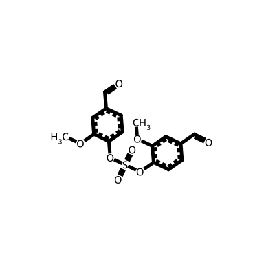 COc1cc(C=O)ccc1OS(=O)(=O)Oc1ccc(C=O)cc1OC